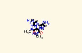 CNC(=O)C(C(C(=O)NC)n1cc(N)cn1)n1cc(N)cn1